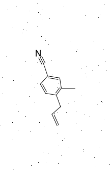 C=CCc1ccc(C#N)cc1C